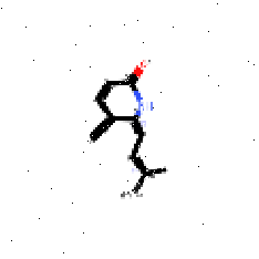 C=c1ccc(=O)[nH]/c1=C/C=C(\C)C(C)C